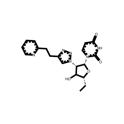 CC[C@H]1O[C@@H](n2ccc(=O)[nH]c2=O)[C@@H](n2cc(CCc3ccccn3)nn2)C1O